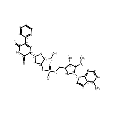 COC1[C@@H](O)C(COP(=O)(O)OC2C[C@H](n3cc(-c4ccccc4)c(=O)[nH]c3=O)O[C@@H]2CO)O[C@H]1n1cnc2c(N)ncnc21